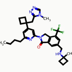 CCCCc1cc(C2(Cc3nncn3C)CCC2)cc(N2Cc3c(cc(CNC4(C)CCC4)cc3C(F)(F)F)C2=O)n1